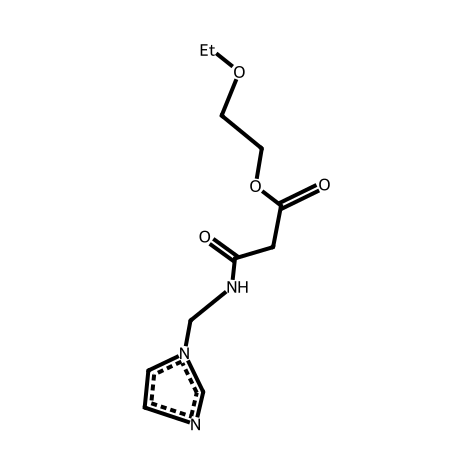 CCOCCOC(=O)CC(=O)NCn1ccnc1